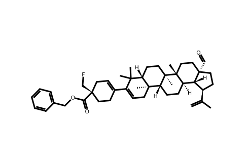 C=C(C)[C@@H]1CC[C@]2(C=O)CC[C@]3(C)[C@H](CC[C@@H]4[C@@]5(C)CC=C(C6=CC[C@@](CF)(C(=O)OCc7ccccc7)CC6)C(C)(C)[C@@H]5CC[C@]43C)[C@@H]12